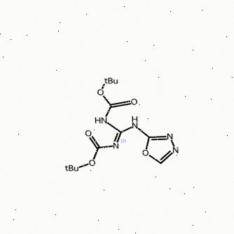 CC(C)(C)OC(=O)/N=C(\NC(=O)OC(C)(C)C)Nc1nnco1